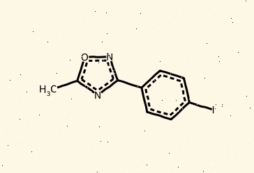 Cc1nc(-c2ccc(I)cc2)no1